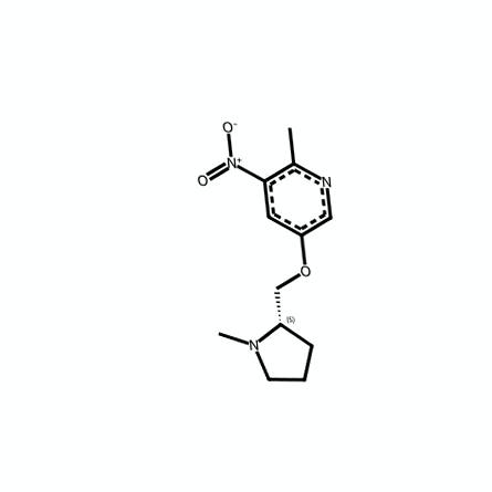 Cc1ncc(OC[C@@H]2CCCN2C)cc1[N+](=O)[O-]